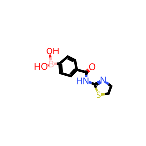 O=C(NC1=NCCS1)c1ccc(B(O)O)cc1